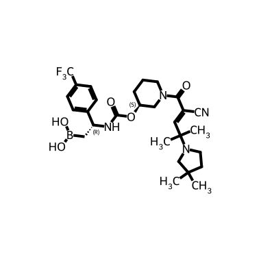 CC1(C)CCN(C(C)(C)C=C(C#N)C(=O)N2CCC[C@H](OC(=O)N[C@H](CB(O)O)c3ccc(C(F)(F)F)cc3)C2)C1